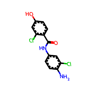 Nc1ccc(NC(=O)c2ccc(O)cc2Cl)cc1Cl